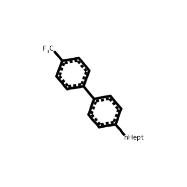 CCCCCCCc1ccc(-c2ccc(C(F)(F)F)cc2)cc1